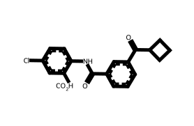 O=C(Nc1ccc(Cl)cc1C(=O)O)c1cccc(C(=O)C2CCC2)c1